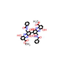 COC(=O)c1ccc(O)c2nc3c(CNC(=O)c4ccccc4)c(O)c(-c4c(O)c(CNC(=O)c5ccccc5)c5nc6c(O)ccc(C(=O)OC)c6nc5c4O)c(O)c3nc12